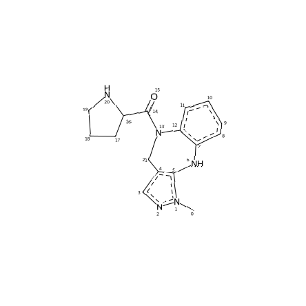 Cn1ncc2c1Nc1ccccc1N(C(=O)C1CCCN1)C2